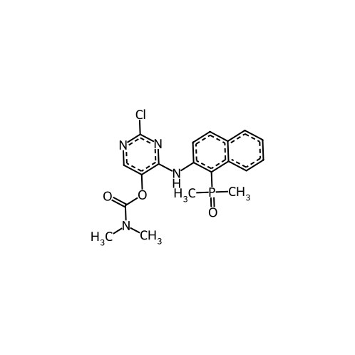 CN(C)C(=O)Oc1cnc(Cl)nc1Nc1ccc2ccccc2c1P(C)(C)=O